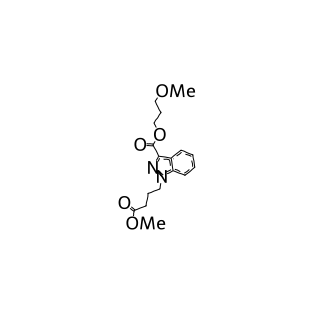 COCCCOC(=O)c1nn(CCCC(=O)OC)c2ccccc12